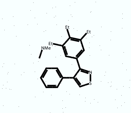 CCc1cc(-c2nscc2-c2ccccc2)cc(CC)c1CC.CNC